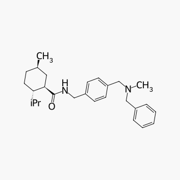 CC(C)[C@@H]1CC[C@@H](C)C[C@H]1C(=O)NCc1ccc(CN(C)Cc2ccccc2)cc1